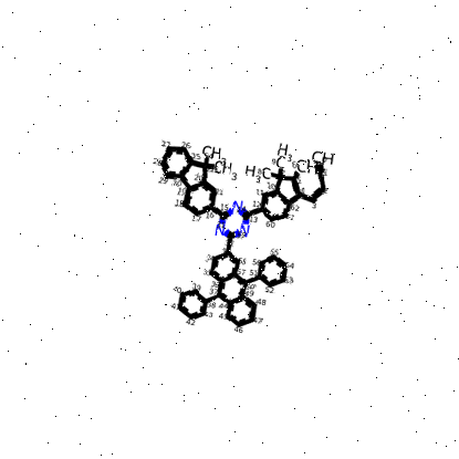 C#C/C=C\C1=C(C)C(C)(C)c2cc(-c3nc(-c4ccc5c(c4)C(C)(C)c4ccccc4-5)nc(-c4ccc5c(-c6ccccc6)c6ccccc6c(-c6ccccc6)c5c4)n3)ccc21